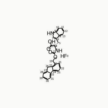 F.O=C(N[C@@H](Cc1c[nH]c2ccccc12)C(=O)O)OCc1cccc2c1Cc1ccccc1-2